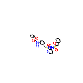 CC(C)(C)OC(=O)Nc1cccc(C[S+]([O-])c2ncccc2N[S+]([O-])c2cc3ccccc3o2)c1